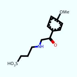 COc1ccc(C(=O)CNCCCS(=O)(=O)O)cc1